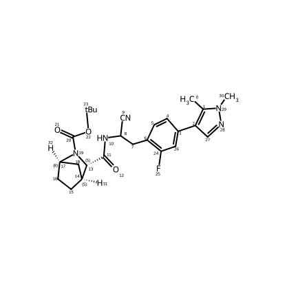 Cc1c(-c2ccc(CC(C#N)NC(=O)[C@@H]3[C@H]4CC[C@H](C4)N3C(=O)OC(C)(C)C)c(F)c2)cnn1C